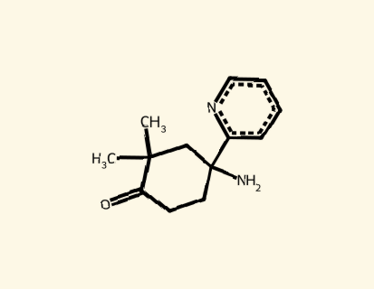 CC1(C)CC(N)(c2ccccn2)CCC1=O